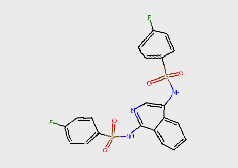 O=S(=O)(Nc1cnc(NS(=O)(=O)c2ccc(F)cc2)c2ccccc12)c1ccc(F)cc1